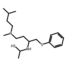 CC(C)CCN(C)CCC(CSc1ccccc1)NC(C)S